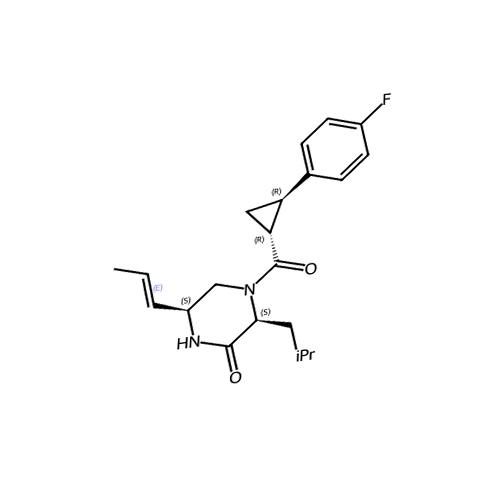 C/C=C/[C@H]1CN(C(=O)[C@@H]2C[C@H]2c2ccc(F)cc2)[C@@H](CC(C)C)C(=O)N1